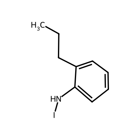 CCCc1ccccc1NI